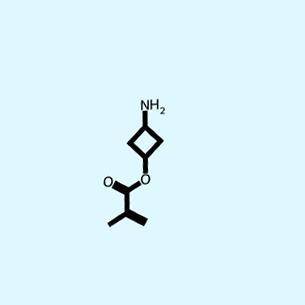 C=C(C)C(=O)OC1CC(N)C1